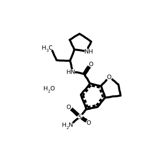 CCC(NC(=O)c1cc(S(N)(=O)=O)cc2c1OCC2)C1CCCN1.O